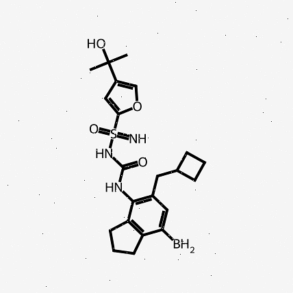 Bc1cc(CC2CCC2)c(NC(=O)NS(=N)(=O)c2cc(C(C)(C)O)co2)c2c1CCC2